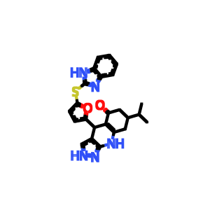 CC(C)C1CC(=O)C2=C(C1)Nc1n[nH]cc1C2c1ccc(Sc2nc3ccccc3[nH]2)o1